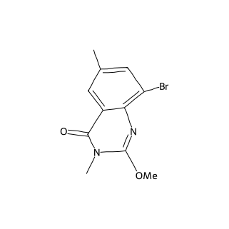 COc1nc2c(Br)cc(C)cc2c(=O)n1C